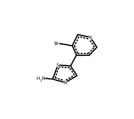 Nc1ncc(-c2ccncc2Br)s1